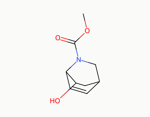 COC(=O)N1CC2C=CC1C(O)C2